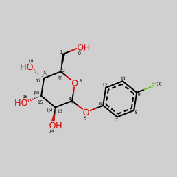 OC[C@H]1O[C](Oc2ccc(F)cc2)[C@@H](O)[C@H](O)[C@@H]1O